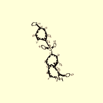 O=c1[nH]ccc2cc(S(=O)(=O)c3ccc(Cl)cc3)ccc12